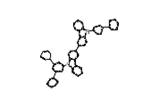 C1=CCC(c2cc(-c3ccccc3)cc(-n3c4ccccc4c4cc(-c5ccc6c(c5)c5ccccc5n6-c5ccc(-c6ccccc6)cc5)ccc43)c2)C=C1